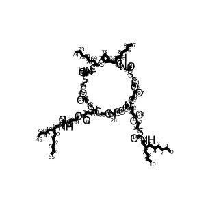 CCCCCCC(CCCC)CNC(=O)SCCOC(=O)CCN1CCCN(C)CCCN(CCC(=O)OCCSC(=O)NCC(CCCC)CCCCCC)CCC(=O)OCCSC(=O)NCC(CCCCCC)CC2(CCC2)CC(CCCCCC)CNC(=O)SCCOC(=O)CC1